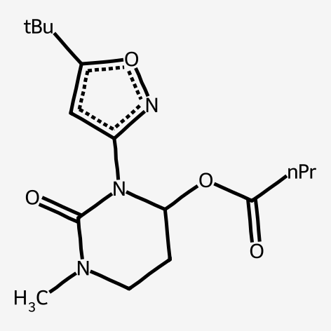 CCCC(=O)OC1CCN(C)C(=O)N1c1cc(C(C)(C)C)on1